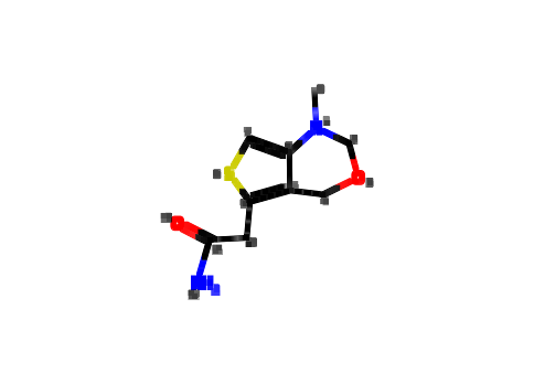 CN1COCc2c1csc2CC(N)=O